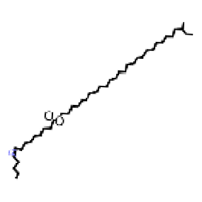 CCCC/C=C\CCCCCCCC(=O)OCCCCCCCCCCCCCCCCCCCCCCCCCC(C)CC